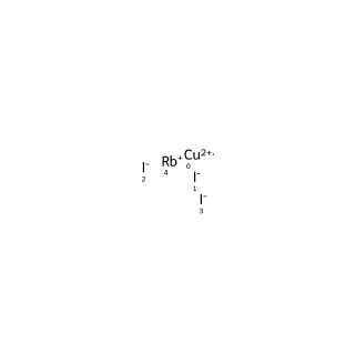 [Cu+2].[I-].[I-].[I-].[Rb+]